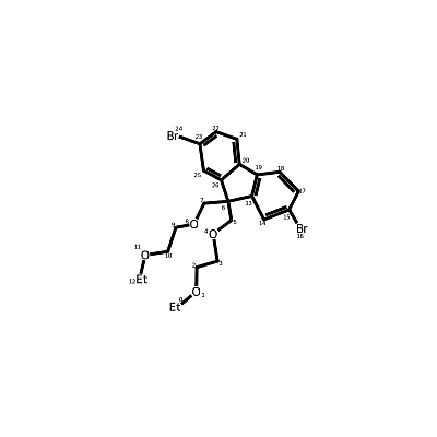 CCOCCOCC1(COCCOCC)c2cc(Br)ccc2-c2ccc(Br)cc21